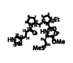 CC[C@H]1CCN(C[C@@H]2CCCN2C(=O)CCc2c[nH]cn2)[C@@H]1C(=O)N[C@@H](CCSC)C(=O)OC